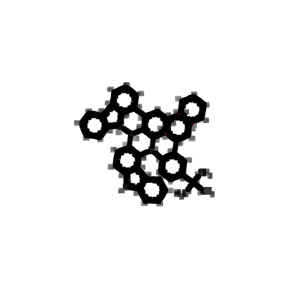 CC(C)(C)c1ccc(N2c3cc(-c4ccccc4)cc4c3B(c3ccc5oc6ccccc6c5c32)n2c3ccccc3c3cccc-4c32)c(-c2ccccc2)c1